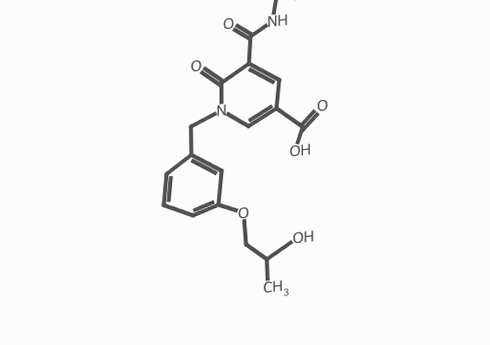 CNC(=O)c1cc(C(=O)O)cn(Cc2cccc(OCC(C)O)c2)c1=O